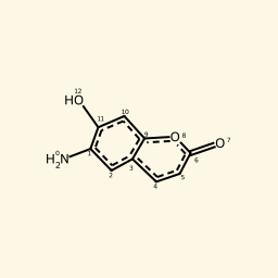 Nc1cc2ccc(=O)oc2cc1O